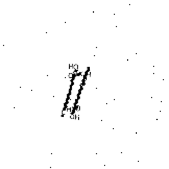 CCCCCCCCCCCCCCCCCC(=O)N(CCO)CCO.CCCCCCCCCCCCCCCCCC(=O)NCCO